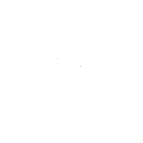 CCCCCCCCCCCCCCCC(=O)N1CCCC1C(=O)OCCCCCCC